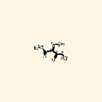 CCOC(=O)C(=NO)C(=O)CCl